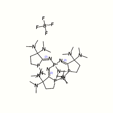 CN(C)P1CCC(N(C)C)(N(C)C)/C1=N/[P+](/N=C1\P(N(C)C)CCC1(N(C)C)N(C)C)(/N=C1\P(N(C)C)CCC1(N(C)C)N(C)C)N(C)C.F[B-](F)(F)F